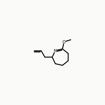 C=CCC1CCCCC(OC)=N1